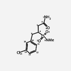 CNS(=O)(=O)C(CC(N)=O)Cc1cccc(Cl)c1